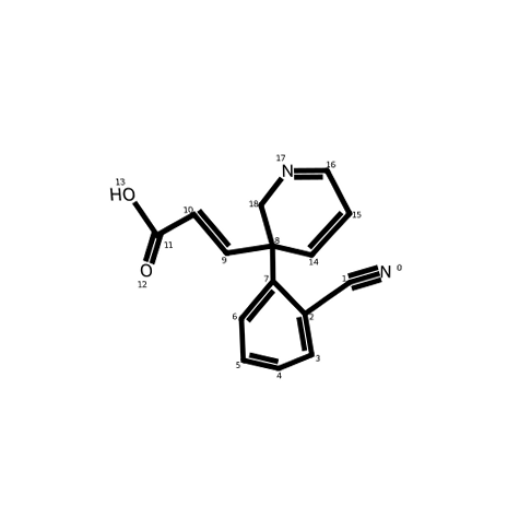 N#Cc1ccccc1C1(/C=C/C(=O)O)C=CC=NC1